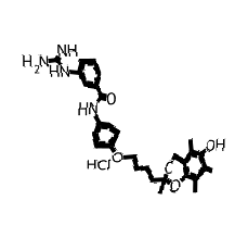 Cc1c(C)c2c(c(C)c1O)CCC(C)(CCCCOc1ccc(NC(=O)c3cccc(NC(=N)N)c3)cc1)O2.Cl